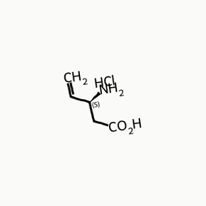 C=C[C@@H](N)CC(=O)O.Cl